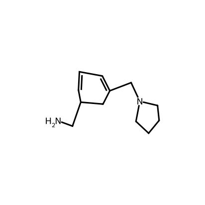 NCC1C=CC=C(CN2CCCC2)C1